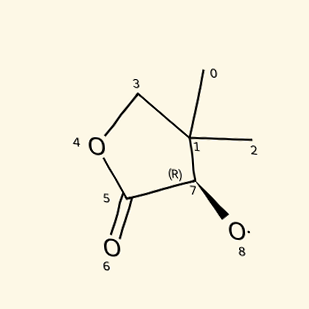 CC1(C)COC(=O)[C@@H]1[O]